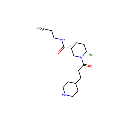 Cl.O=C(O)CCNC(=O)[C@@H]1CCCN(C(=O)CCC2CCNCC2)C1